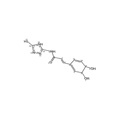 O=C(/C=C/C1=CC(O)C(O)C=C1)Nc1nnc(S)[nH]1